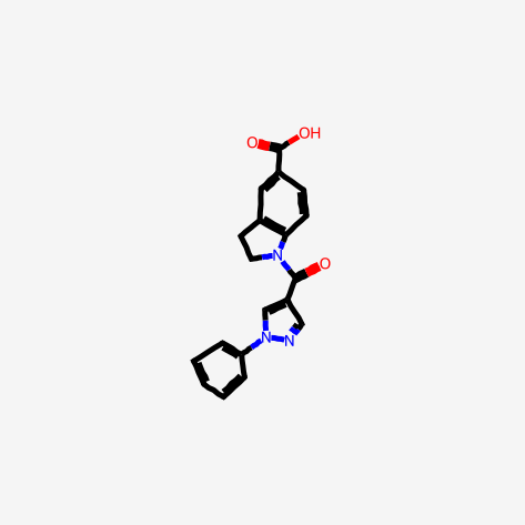 O=C(O)c1ccc2c(c1)CCN2C(=O)c1cnn(-c2ccccc2)c1